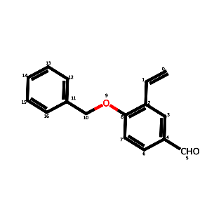 C=Cc1cc(C=O)ccc1OCc1ccccc1